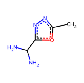 Cc1nnc(C(N)N)o1